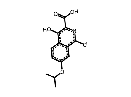 CC(C)Oc1ccc2c(O)c(C(=O)O)nc(Cl)c2c1